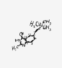 Cc1nc2ccc(C#C[Si](C)(C)C)cc2c(=O)[nH]1